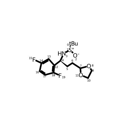 CC(C)(C)[S@+]([O-])N[C@@H](CCC1OCCO1)c1cc(F)ccc1F